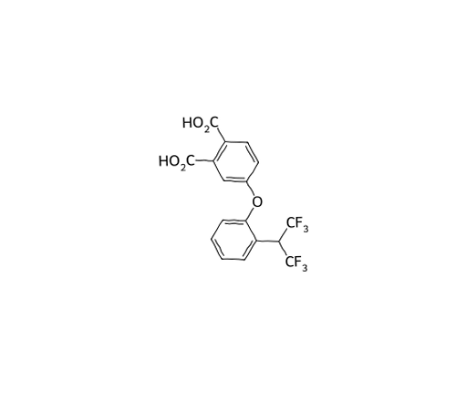 O=C(O)c1ccc(Oc2ccccc2C(C(F)(F)F)C(F)(F)F)cc1C(=O)O